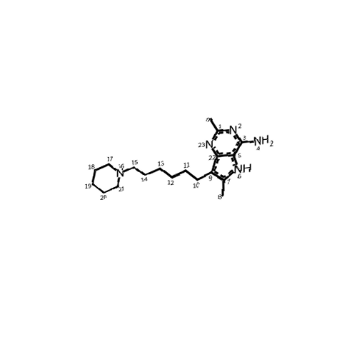 Cc1nc(N)c2[nH]c(C)c(CCCCCCN3CCCCC3)c2n1